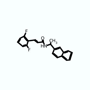 CC(NC(=O)C=Cc1c(F)cccc1F)c1ccc2ccccc2c1